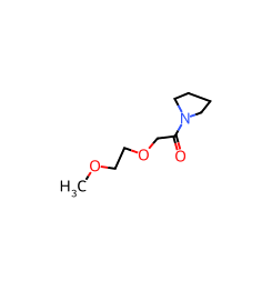 COCCOCC(=O)N1CCCC1